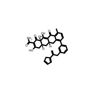 C=C(Cc1cccc(-c2ccc(C)c3c2C[C@@H]2C[C@@H]4CC(O)=C(C(N)=O)C(=O)[C@]4(O)C(O)=C2C3=O)c1)C1=CC=CC1